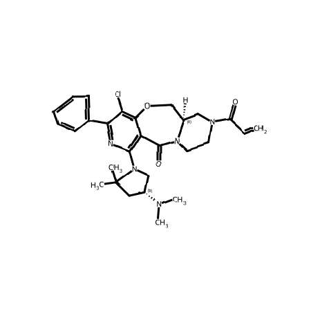 C=CC(=O)N1CCN2C(=O)c3c(N4C[C@H](N(C)C)CC4(C)C)nc(-c4ccccc4)c(Cl)c3OC[C@H]2C1